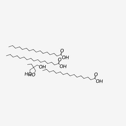 CCC(CO)(CO)CO.CCCCCCCCCCCCCCCC(=O)O.CCCCCCCCCCCCCCCC(=O)O.CCCCCCCCCCCCCCCC(=O)O